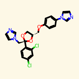 Clc1ccc([C@]2(Cn3ccnc3)OC[C@H](COc3ccc(-n4ccnc4)cc3)O2)c(Cl)c1